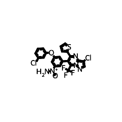 N[N+](=O)c1cc(Oc2cccc(Cl)c2)cc(-c2c(-c3cccs3)nc3c(Cl)cnn3c2C(F)(F)F)c1